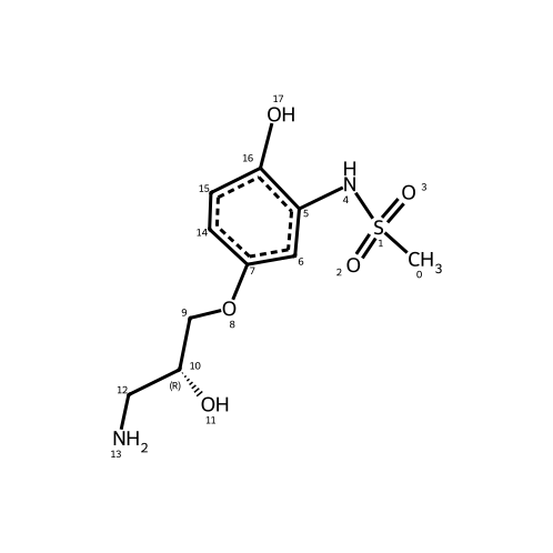 CS(=O)(=O)Nc1cc(OC[C@H](O)CN)ccc1O